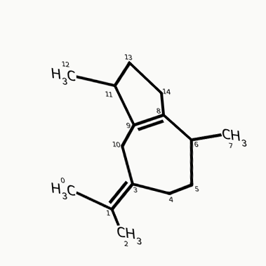 CC(C)=C1CCC(C)C2=C(C1)C(C)CC2